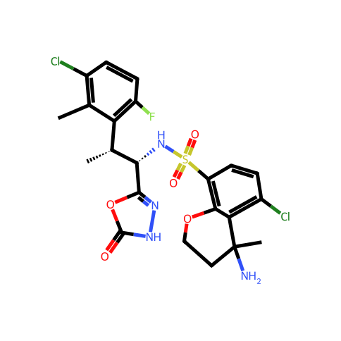 Cc1c(Cl)ccc(F)c1[C@@H](C)[C@H](NS(=O)(=O)c1ccc(Cl)c2c1OCCC2(C)N)c1n[nH]c(=O)o1